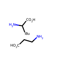 CCC(C)C(N)C(=O)O.NCCC(=O)O